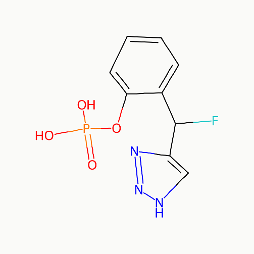 O=P(O)(O)Oc1ccccc1C(F)c1c[nH]nn1